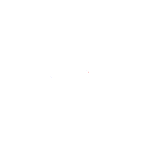 CC(C)(C)OC(=O)N[C@H]1CC[C@H](COCCOCCOCCOCCOCCN)CC1